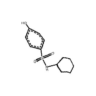 O=S(=O)(NC1CCCCC1)c1ccc(O)cc1